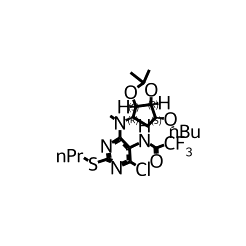 CCCCO[C@H]1C[C@@H](N(C)c2nc(SCCC)nc(Cl)c2NC(=O)C(F)(F)F)[C@@H]2OC(C)(C)O[C@@H]21